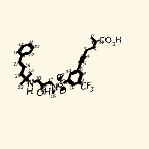 C[C@H](CCC#Cc1cc(C(F)(F)F)cc(S(=O)(=O)N(C)CC(O)CNC(C)(C)CCCc2ccccc2)c1)C(=O)O